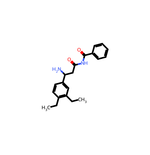 CCc1ccc(C(N)CC(=O)NC(=O)c2ccccc2)cc1CC